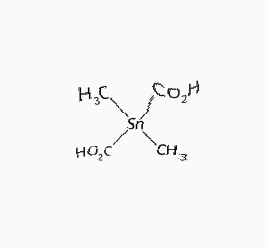 [CH3][Sn]([CH3])([C](=O)O)[C](=O)O